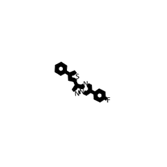 Fc1ccc(-c2cnc3c(-c4cc(-c5ccccc5)cs4)cnn3c2)cc1